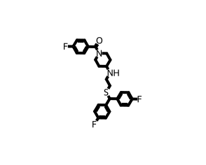 O=C(c1ccc(F)cc1)N1CCC(NCCSC(c2ccc(F)cc2)c2ccc(F)cc2)CC1